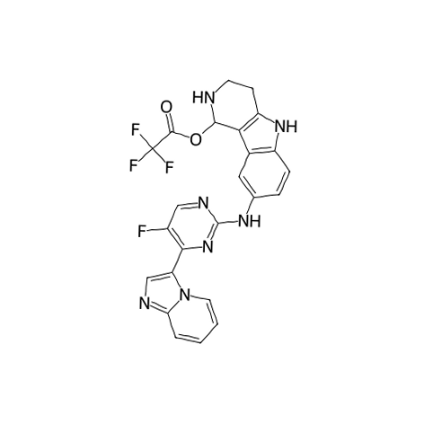 O=C(OC1NCCc2[nH]c3ccc(Nc4ncc(F)c(-c5cnc6ccccn56)n4)cc3c21)C(F)(F)F